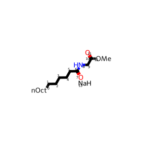 CCCCCCCCCCCCCC(=O)NCC(=O)OC.[NaH]